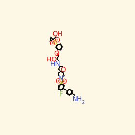 NCc1ccc(-c2cc(S(=O)(=O)N3CCC4(CC3)C[C@H](NC[C@H](O)COc3cccc(S(=O)(=O)C5(CO)CC5)c3)CO4)ccc2F)cc1